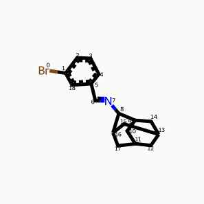 Brc1cccc(/C=N/C2C3CC4CC(C3)CC2C4)c1